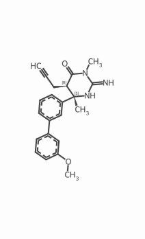 C#CC[C@H]1C(=O)N(C)C(=N)N[C@]1(C)c1cccc(-c2cccc(OC)c2)c1